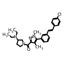 CCN(CC)C1CCN(C(=O)c2nn(C)c(-c3cccc(/C=C/c4ccc(Cl)cc4)c3)c2C)C1